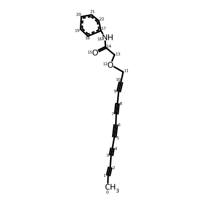 CC#CC#CC#CC#CC#CCOCC(=O)Nc1ccccc1